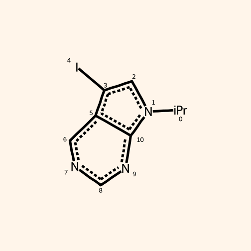 CC(C)n1cc(I)c2cncnc21